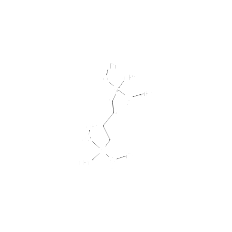 CCC[Si](CCCC[Si](CCC)(OC(C)C)OC(C)C)(OC(C)C)OC(C)C